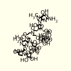 COCCN(CCOC)C(=O)C[C@@H]1[C@@H](COP(=O)(O)OP(=O)(O)OP(=O)(O)OC[C@H]2O[C@@H](n3cnc4c(N)ncnc43)[C@H](OC)[C@@H]2P(=O)([O-])OC[C@H]2O[C@@H](n3ccc(=O)[nH]c3=O)[C@H](O)[C@@H]2O)OC(n2c[n+](C)c3c(=O)[nH]c(N)nc32)[C@@H]1O